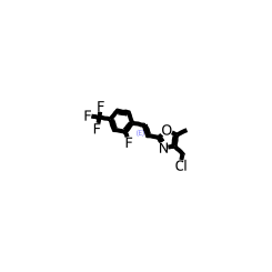 Cc1oc(/C=C/c2ccc(C(F)(F)F)cc2F)nc1CCl